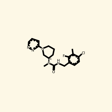 Cc1c(Cl)ccc(CNC(=O)N(C)[C@@H]2CCCN(c3cccnn3)C2)c1F